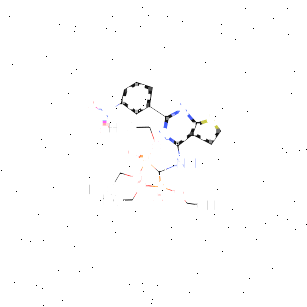 CCOP(=O)(OCC)C(Nc1nc(-c2cccc([N+](=O)[O-])c2)nc2sccc12)P(=O)(OCC)OCC